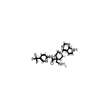 NCC1(C(=O)Nc2ccc(C(F)(F)F)cn2)CCN(c2ncnc3[nH]ccc23)CC1